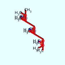 CCCCCCCC(CCCCCCCCCCCCC/C=C\COC(=O)CN(CC(=O)OC(CCCCCC)CCCCCC)C(=O)SCCN(C)C)OC(=O)CN(CC(=O)OC/C=C\CCCCCCCCCCCCCC(CCCCCCC)OC(=O)CN(CC(=O)OC(CCCCCCC)CCCCCCC)C(=O)SCCCN(C)C)C(=O)SCCCN(C)C